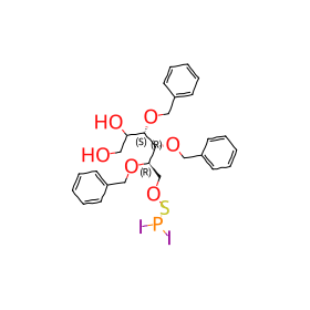 OCC(O)[C@H](OCc1ccccc1)[C@H](OCc1ccccc1)[C@@H](COSP(I)I)OCc1ccccc1